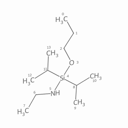 CCCO[Si](NCC)(C(C)C)C(C)C